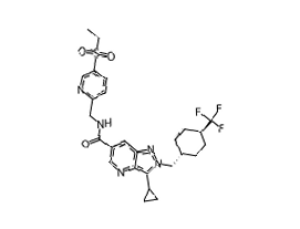 CCS(=O)(=O)c1ccc(CNC(=O)c2cnc3c(C4CC4)n(C[C@H]4CC[C@H](C(F)(F)F)CC4)nc3c2)nc1